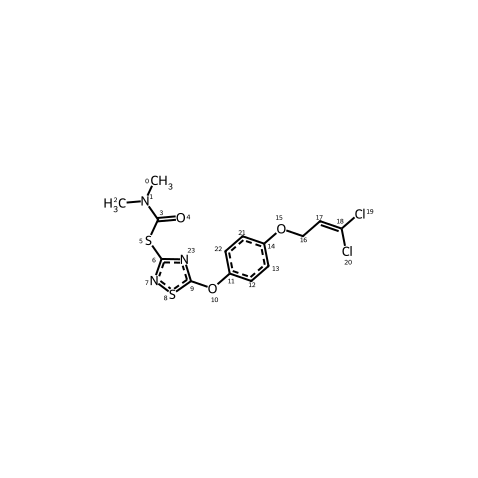 CN(C)C(=O)Sc1nsc(Oc2ccc(OCC=C(Cl)Cl)cc2)n1